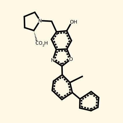 Cc1c(-c2ccccc2)cccc1-c1nc2cc(CN3CCC[C@H]3C(=O)O)c(O)cc2o1